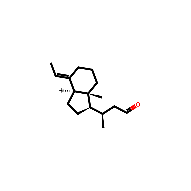 C/C=C1\CCC[C@]2(C)[C@@H]([C@H](C)CC=O)CC[C@@H]12